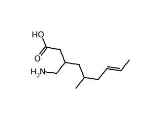 CC=CCC(C)CC(CN)CC(=O)O